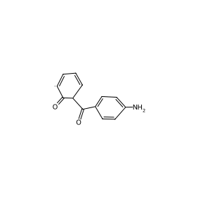 Nc1ccc(C(=O)C2C=CC=[C]C2=O)cc1